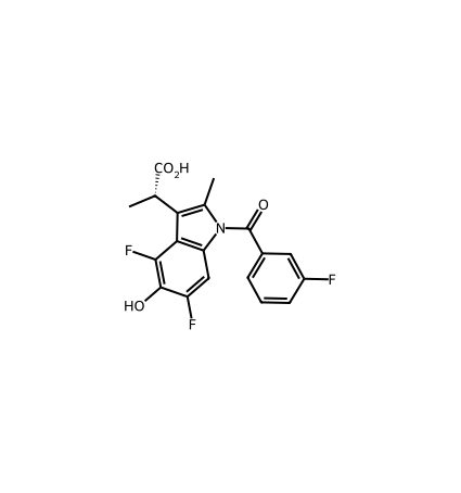 Cc1c([C@H](C)C(=O)O)c2c(F)c(O)c(F)cc2n1C(=O)c1cccc(F)c1